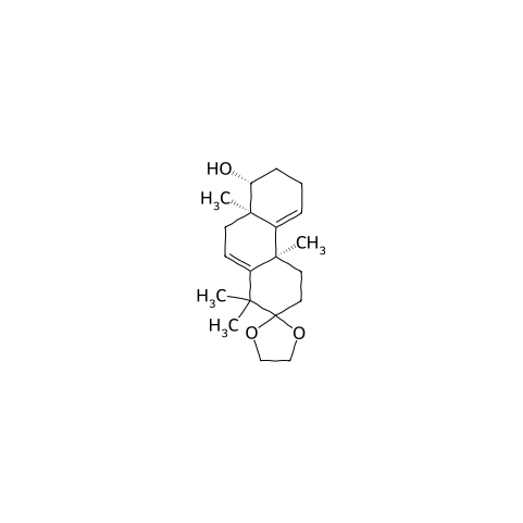 CC1(C)C2=CC[C@]3(C)C(=CCC[C@H]3O)[C@@]2(C)CCC12OCCO2